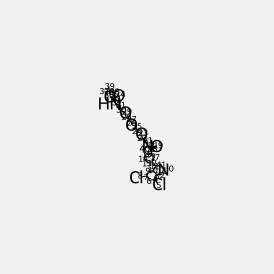 CN1Cc2c(Cl)cc(Cl)cc2C(c2ccc3c(c2)C(=O)N(CCOCCOCCOCCNC(=O)OC(C)(C)C)C3)C1